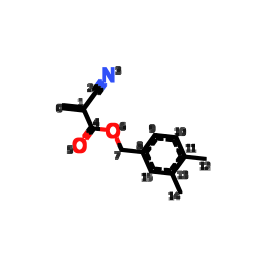 C=C(C#N)C(=O)OCc1ccc(C)c(C)c1